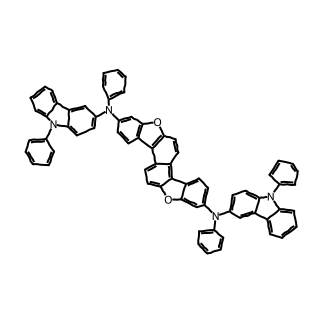 c1ccc(N(c2ccc3c(c2)oc2ccc4c(ccc5oc6cc(N(c7ccccc7)c7ccc8c(c7)c7ccccc7n8-c7ccccc7)ccc6c54)c23)c2ccc3c(c2)c2ccccc2n3-c2ccccc2)cc1